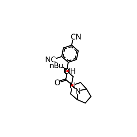 CCCCNC(=O)N1CC2CCC(C1)N2CCOc1ccc(C#N)cc1C#N